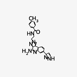 Cc1ccc(C(=O)NCCn2cc3c(n2)c(N)nc2cc(-c4cc[nH]n4)ccc23)cc1